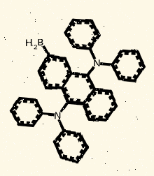 Bc1ccc2c(N(c3ccccc3)c3ccccc3)c3ccccc3c(N(c3ccccc3)c3ccccc3)c2c1